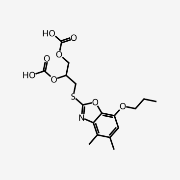 CCCOc1cc(C)c(C)c2nc(SCC(COC(=O)O)OC(=O)O)oc12